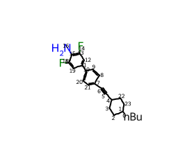 CCCCC1CCC(C#Cc2ccc(-c3cc(F)c(N)c(F)c3)cc2)CC1